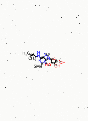 CSc1nc(NCC=C(C)C)c2ncn([C@@H]3O[C@H](CO)[C@H](O)C3O)c2n1